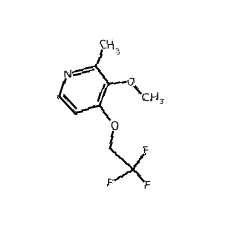 COc1c(OCC(F)(F)F)ccnc1C